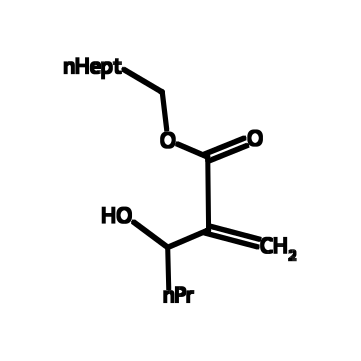 C=C(C(=O)OCCCCCCCC)C(O)CCC